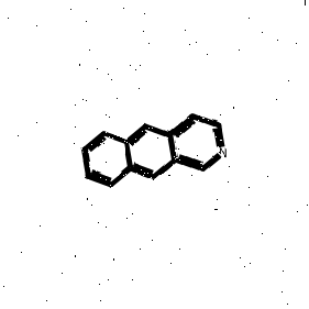 [c]1c2ccccc2cc2cnccc12